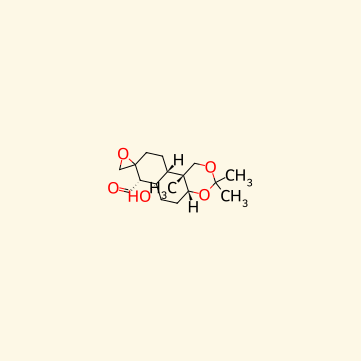 CC1(C)OC[C@@]2(C)[C@H]3CCC4(CO4)[C@@H](C=O)[C@]3(O)CC[C@H]2O1